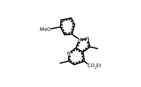 CCOC(=O)c1cc(C)nc2c1c(C)nn2-c1cccc(OC)c1